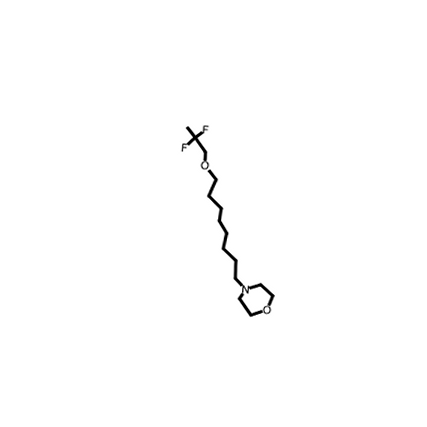 CC(F)(F)COCCCCCCCCN1CCOCC1